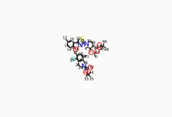 CCO[C@@H]1CN(c2nc(-c3cc(C)ccc3OCc3cc(C)c4c(c3F)CCN(C(=O)OC(C)(C)C)C4)cs2)CC[C@@H]1C(=O)OC(C)(C)C